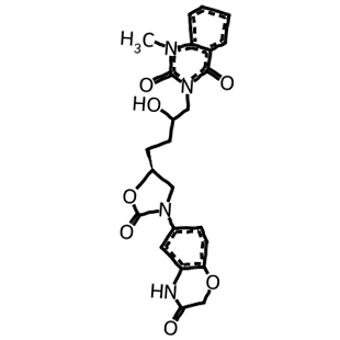 Cn1c(=O)n(CC(O)CC[C@H]2CN(c3ccc4c(c3)NC(=O)CO4)C(=O)O2)c(=O)c2ccccc21